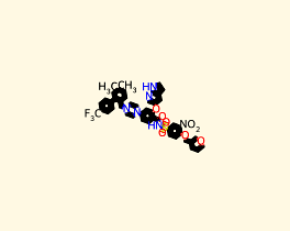 CC1(C)CCC(CN2CCN(c3ccc(C(=O)NS(=O)(=O)c4ccc(OCC5CCCOC5)c([N+](=O)[O-])c4)c(Oc4cnc5[nH]ccc5c4)c3)CC2)=C(c2ccc(C(F)(F)F)cc2)C1